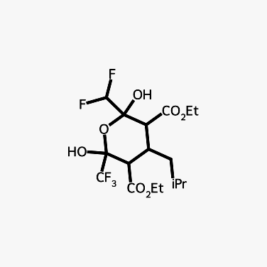 CCOC(=O)C1C(CC(C)C)C(C(=O)OCC)C(O)(C(F)(F)F)OC1(O)C(F)F